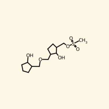 CS(=O)(=O)OCC1CCC(COCC2CCCC2O)C1O